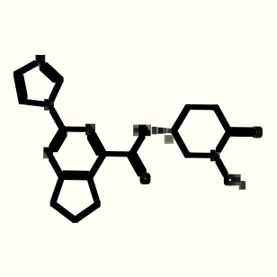 CN1C[C@H](NC(=O)c2nc(-n3ccnc3)nc3c2CCC3)CCC1=O